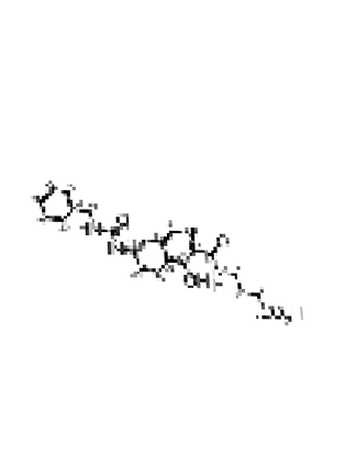 O=C(O)CCCNC(=O)c1ncc2cc(NC(=O)NCc3ccccc3)ccc2c1O